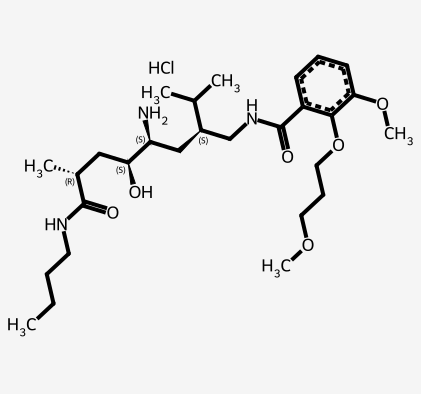 CCCCNC(=O)[C@H](C)C[C@H](O)[C@@H](N)C[C@H](CNC(=O)c1cccc(OC)c1OCCCOC)C(C)C.Cl